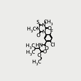 CCOC(=O)C(NC(=O)c1cc(-n2c(=O)n(C)c(=S)n(C)c2=O)c(F)cc1Cl)C(C)C